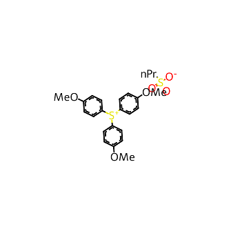 CCCS(=O)(=O)[O-].COc1ccc([S+](c2ccc(OC)cc2)c2ccc(OC)cc2)cc1